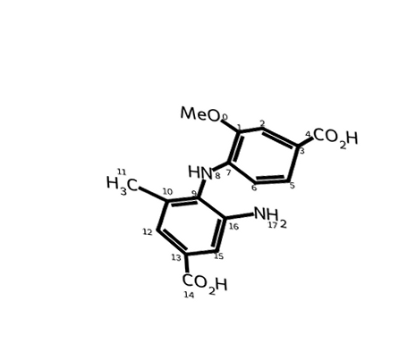 COc1cc(C(=O)O)ccc1Nc1c(C)cc(C(=O)O)cc1N